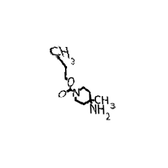 CCCCOC(=O)N1CCC(C)(N)CC1